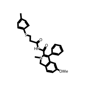 COc1ccc2c(c1)C(c1ccccc1)=C(C(=O)NC(=O)CCSc1ccc(C)cc1)N(C)C2